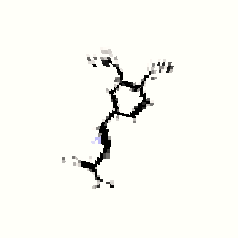 COc1ccc(/C=C/C(=O)C#N)cc1OC